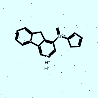 [CH2]=[Zr+2]([C]1=CC=CC1)[c]1cccc2c1Cc1ccccc1-2.[H-].[H-]